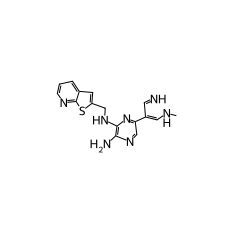 CN/C=C(\C=N)c1cnc(N)c(NCc2cc3cccnc3s2)n1